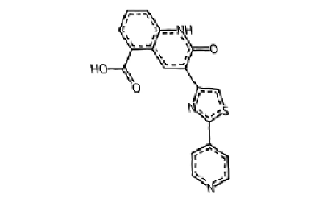 O=C(O)c1cccc2[nH]c(=O)c(-c3csc(-c4ccncc4)n3)cc12